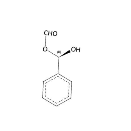 O=CO[C@@H](O)c1ccccc1